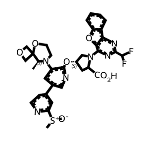 C[C@@H]1N(c2cc(-c3ccnc([S+](C)[O-])c3)cnc2O[C@H]2CC(C(=O)O)N(c3nc(C(F)F)nc4c3oc3ccccc34)C2)CCOC12COC2